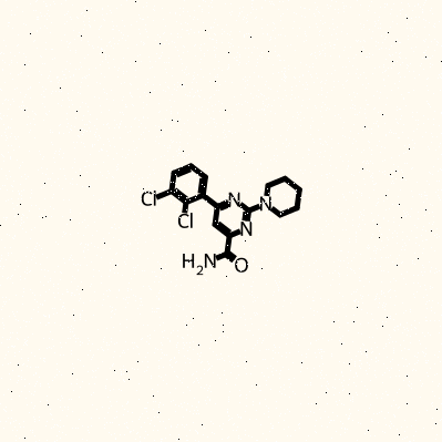 NC(=O)c1cc(-c2cccc(Cl)c2Cl)nc(N2CCCCC2)n1